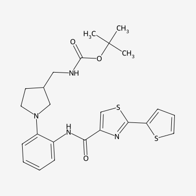 CC(C)(C)OC(=O)NCC1CCN(c2ccccc2NC(=O)c2csc(-c3cccs3)n2)C1